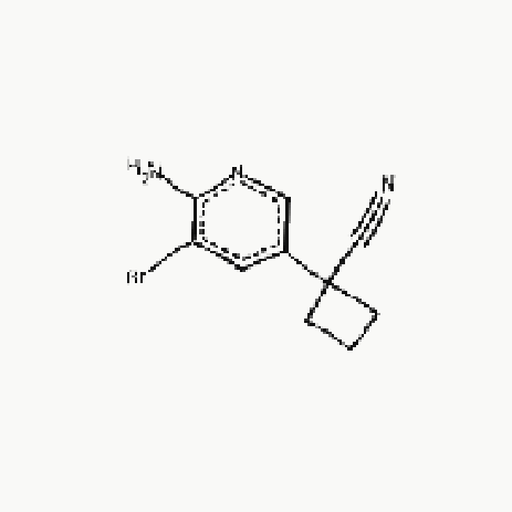 N#CC1(c2cnc(N)c(Br)c2)CCC1